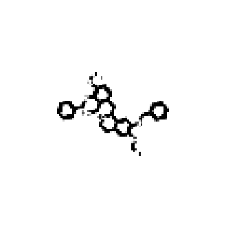 [2H]COc1cc2c(cc1OCc1ccccc1)C(Cc1ccc(OC)c(OCc3ccccc3)c1CO)NCC2